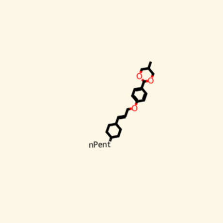 CCCCCC1CCC(/C=C/COc2ccc(C3OCC(C)CO3)cc2)CC1